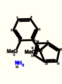 COc1ccccc1C1(OC)C2=CC=C1C=C2.N